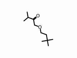 CC(C)C(=O)COCCC(C)(C)C